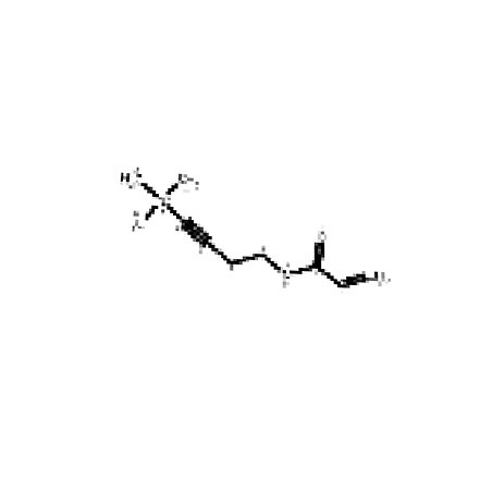 C=CC(=O)NCCC#C[N+](C)(C)C